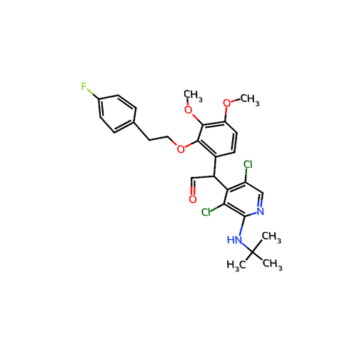 COc1ccc(C(C=O)c2c(Cl)cnc(NC(C)(C)C)c2Cl)c(OCCc2ccc(F)cc2)c1OC